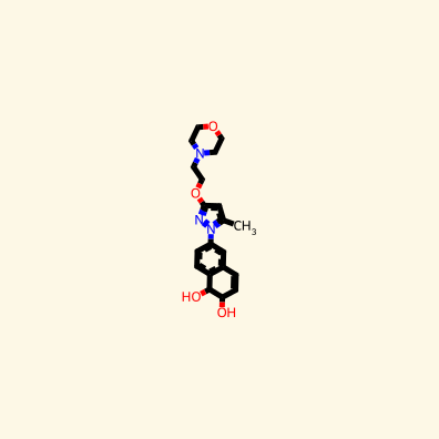 Cc1cc(OCCN2CCOCC2)nn1-c1ccc2c(c1)C=CC(O)C2O